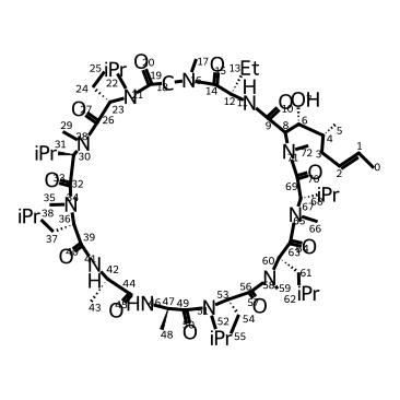 C/C=C/C[C@@H](C)[C@@H](O)C1C(=O)N[C@@H](CC)C(=O)N(C)CC(=O)N(C)[C@@H](CC(C)C)C(=O)N(C)[C@H](C(C)C)C(=O)N(C)[C@@H](CC(C)C)C(=O)N[C@@H](C)C(=O)N[C@H](C)C(=O)N(C)[C@@H](CC(C)C)C(=O)N(C)[C@@H](CC(C)C)C(=O)N(C)[C@@H](C(C)C)C(=O)N1C